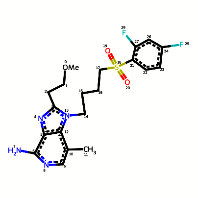 COCCc1nc2c(N)ncc(C)c2n1CCCCS(=O)(=O)c1ccc(F)cc1F